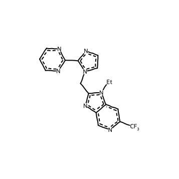 CCn1c(Cn2ccnc2-c2ncccn2)nc2cnc(C(F)(F)F)cc21